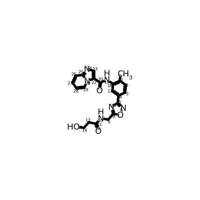 Cc1ccc(-c2noc(CNC(=O)CCO)n2)cc1NC(=O)c1cnc2ccccn12